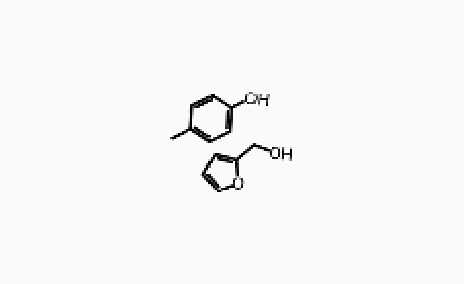 Cc1ccc(O)cc1.OCc1ccco1